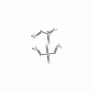 C=CS(=O)(=O)C=C.C=C[SH](=O)=O